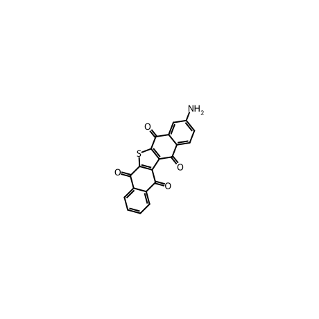 Nc1ccc2c(=O)c3c(sc4c(=O)c5ccccc5c(=O)c43)c(=O)c2c1